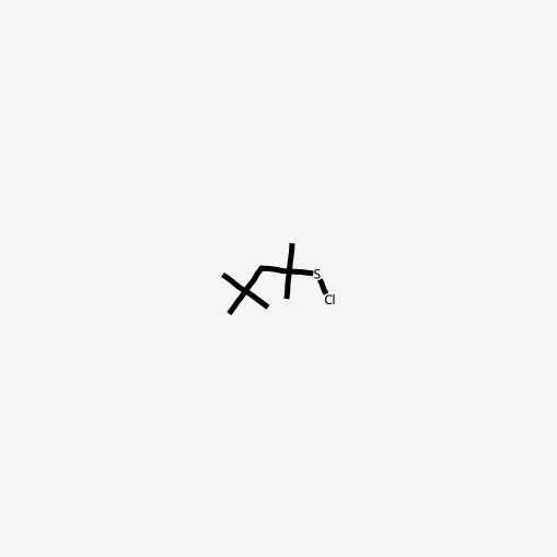 CC(C)(C)CC(C)(C)SCl